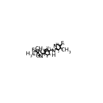 Cc1cc(NCC23CCC(c4noc(C(C)(C)F)n4)(CC2)C3)ncc1F